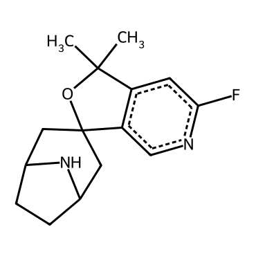 CC1(C)OC2(CC3CCC(C2)N3)c2cnc(F)cc21